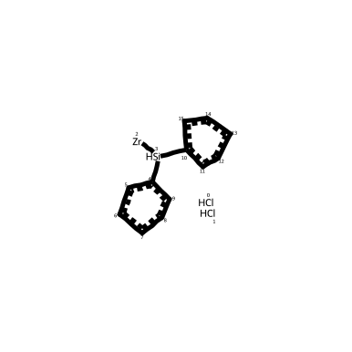 Cl.Cl.[Zr][SiH](c1ccccc1)c1ccccc1